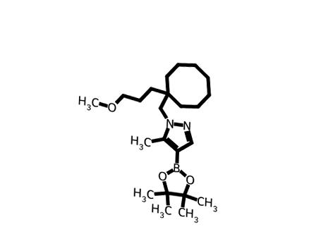 COCCCC1(Cn2ncc(B3OC(C)(C)C(C)(C)O3)c2C)CCCCCCC1